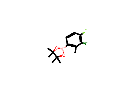 Cc1c(B2OC(C)(C)C(C)(C)O2)ccc(F)c1Cl